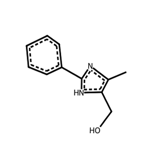 Cc1nc(-c2ccccc2)[nH]c1CO